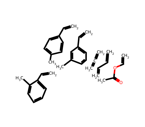 C=C=C.C=CC=C.C=COC(C)=O.C=Cc1ccc(C)cc1.C=Cc1cccc(C)c1.C=Cc1ccccc1C